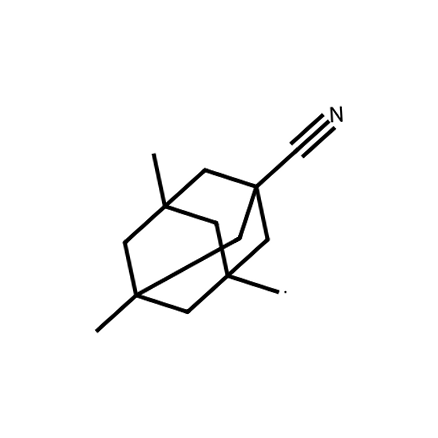 [CH2]C12CC3(C)CC(C)(C1)CC(C#N)(C2)C3